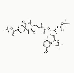 COc1ccc(C[C@@H]2[C@H](OC(=O)NCC[C@@H]3NC(=O)C4(CCN(C(=O)OC(C)(C)C)CC4)NC3=O)[C@@H](OC(=O)OC(C)(C)C)CN2C(=O)OC(C)(C)C)cc1